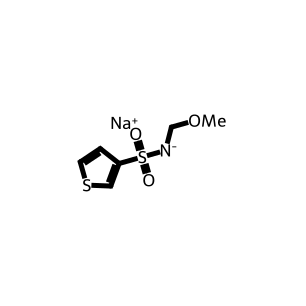 COC[N-]S(=O)(=O)c1ccsc1.[Na+]